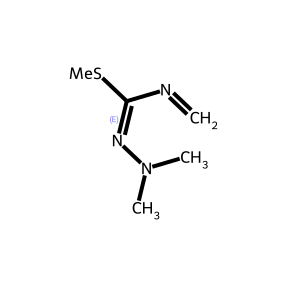 C=N/C(=N\N(C)C)SC